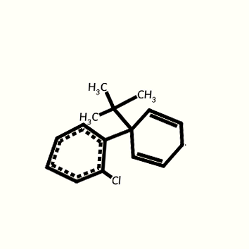 CC(C)(C)C1(c2ccccc2Cl)C=C[CH]C=C1